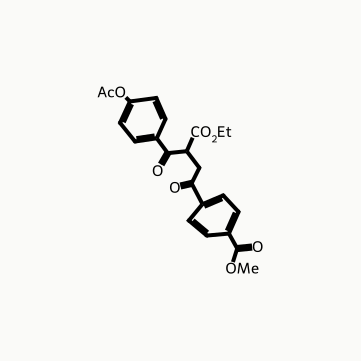 CCOC(=O)C(CC(=O)c1ccc(C(=O)OC)cc1)C(=O)c1ccc(OC(C)=O)cc1